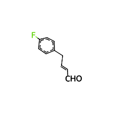 O=C/C=C/Cc1ccc(F)cc1